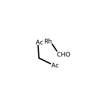 CC(=O)CC(C)=O.O=[CH][Rh]